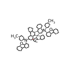 Cc1ccc(N(c2ccc3c4c(c5ccccc5c3c2)-c2c(cc(N(c3ccc(C)cc3)c3cccc5c3oc3ccccc35)c3ccccc23)C42c3ccccc3-c3ccccc32)c2cccc3c2oc2ccccc23)cc1